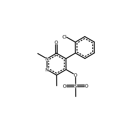 Cc1nn(C)c(=O)c(-c2ccccc2Cl)c1OS(C)(=O)=O